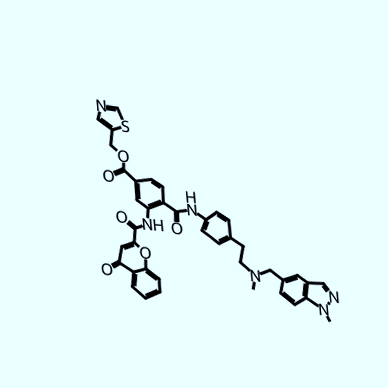 CN(CCc1ccc(NC(=O)c2ccc(C(=O)OCc3cncs3)cc2NC(=O)c2cc(=O)c3ccccc3o2)cc1)Cc1ccc2c(cnn2C)c1